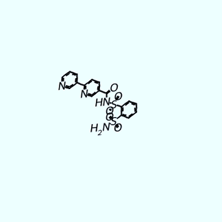 NS(=O)(=O)c1ccccc1S(=O)(=O)NC(=O)c1ccc(-c2cccnc2)nc1